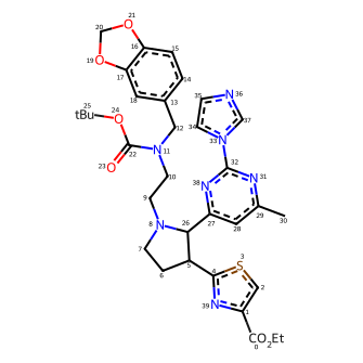 CCOC(=O)c1csc(C2CCN(CCN(Cc3ccc4c(c3)OCO4)C(=O)OC(C)(C)C)C2c2cc(C)nc(-n3ccnc3)n2)n1